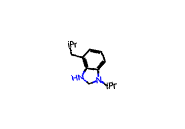 CC(C)Cc1cccc2c1NCN2C(C)C